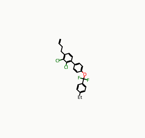 C=CCCc1ccc(-c2ccc(OC(F)(F)c3ccc(CC)cc3)cc2)c(Cl)c1Cl